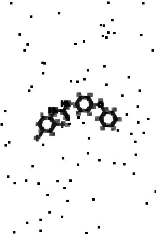 Fc1ccc(NC(=S)Nc2ccc(Oc3ccccc3)cc2)c(F)c1